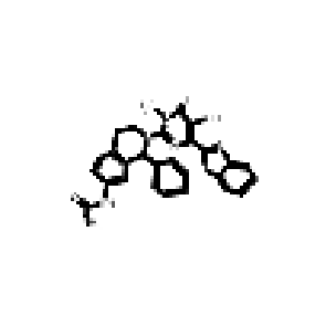 Cn1c(N2CCc3ccc(NC(N)=O)cc3C2c2ccccc2)nc(-c2nc3ccccc3o2)c(O)c1=O